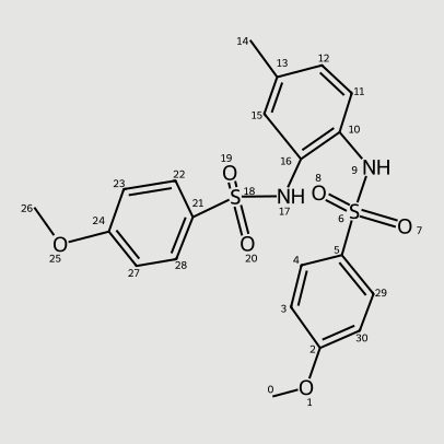 COc1ccc(S(=O)(=O)Nc2ccc(C)cc2NS(=O)(=O)c2ccc(OC)cc2)cc1